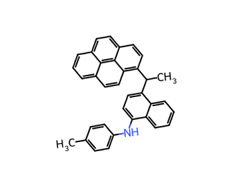 Cc1ccc(Nc2ccc(C(C)c3ccc4ccc5cccc6ccc3c4c56)c3ccccc23)cc1